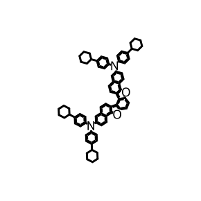 c1cc(N(c2ccc(C3CCCCC3)cc2)c2ccc3c(ccc4c3oc3ccc5oc6c7ccc(N(c8ccc(C9CCCCC9)cc8)c8ccc(C9CCCCC9)cc8)cc7ccc6c5c34)c2)ccc1C1CCCCC1